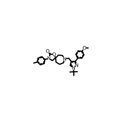 COc1ccc(-c2nn(C(C)(C)C)cc2CN2CCCC3(CC2)CN(c2ccc(C)cc2)C(=O)O3)cc1